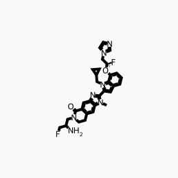 Cn1c(-c2cc3cccc(O[C@H](F)Cn4ccnc4)c3n2CC2CC2)nc2cc3c(cc21)CCN(CC(N)CF)C3=O